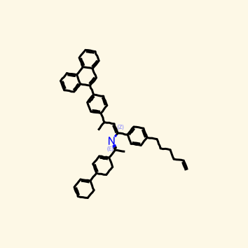 C=CCCCCc1ccc(C(=C/C(C)c2ccc(-c3cc4ccccc4c4ccccc34)cc2)/N=C(\C)C2=CC=C(C3=CC=CCC3)CC2)cc1